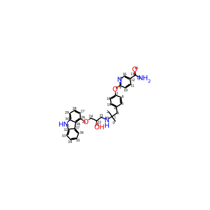 CC(C)(Cc1ccc(Oc2ccc(C(N)=O)cn2)cc1)NCC(O)COc1cccc2[nH]c3ccccc3c12